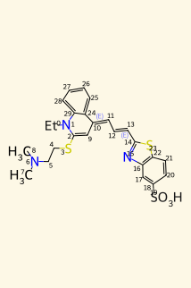 CCN1C(SCCN(C)C)=C/C(=C\C=C\c2nc3cc(S(=O)(=O)O)ccc3s2)c2ccccc21